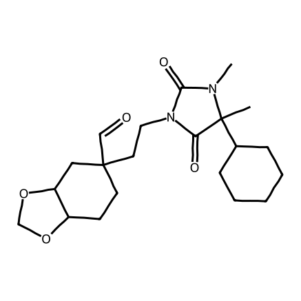 CN1C(=O)N(CCC2(C=O)CCC3OCOC3C2)C(=O)C1(C)C1CCCCC1